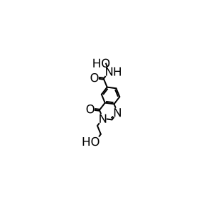 O=C(NO)c1ccc2ncn(CCO)c(=O)c2c1